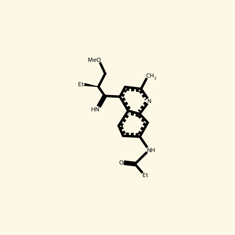 CCC(=O)Nc1ccc2c(C(=N)[C@@H](CC)COC)cc(C)nc2c1